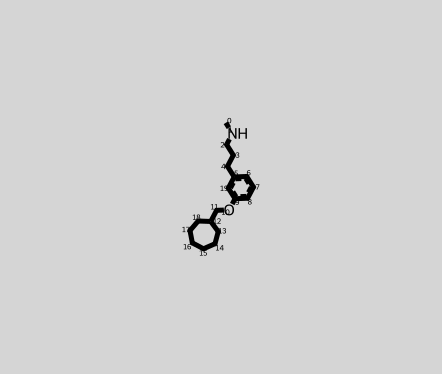 CNCCCc1cccc(OCC2CCCCCC2)c1